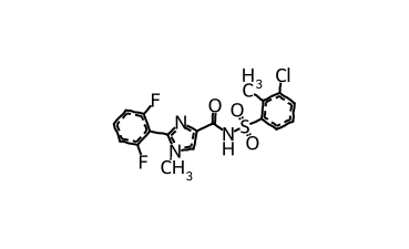 Cc1c(Cl)cccc1S(=O)(=O)NC(=O)c1cn(C)c(-c2c(F)cccc2F)n1